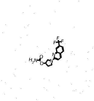 NC(=O)OC1CCN(c2ccc3ccc(C(F)(F)F)cc3n2)C1